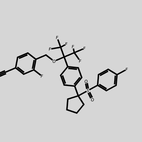 N#Cc1ccc(COC(c2ccc(C3(S(=O)(=O)c4ccc(F)cc4)CCCC3)cc2)(C(F)(F)F)C(F)(F)F)c(F)c1